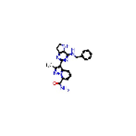 Cc1nn2c(C(N)=O)cccc2c1-c1nc2c(c(NCc3ccccc3)n1)NCC2